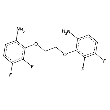 Nc1ccc(F)c(F)c1OCCOc1c(N)ccc(F)c1F